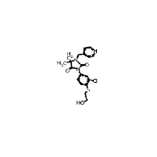 CC1(C)C(=O)N(c2ccc(SCCO)c(Cl)c2)C(=O)N1Cc1ccncc1